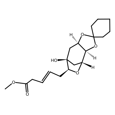 COC(=O)C/C=C/C[C@@H]1O[C@@H]2C[C@@]1(O)C[C@H]1OC3(CCCCC3)O[C@@H]21